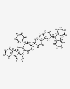 C=C1C(c2cccc3c2oc2ccccc23)=C=CC(c2ccc3c(c2)oc2ccc(-n4c5ccccc5c5ccccc54)cc23)=N[C@H]1c1ccccc1